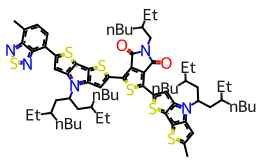 CCCCC(CC)CC(CC(CC)CCCC)n1c2cc(C)sc2c2sc(-c3sc(-c4cc5c(s4)c4sc(-c6ccc(C)c7nsnc67)cc4n5C(CC(CC)CCCC)CC(CC)CCCC)c4c3C(=O)N(CC(CC)CCCC)C4=O)cc21